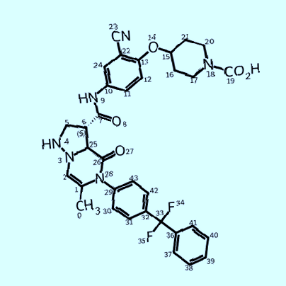 CC1=CN2NC[C@H](C(=O)Nc3ccc(OC4CCN(C(=O)O)CC4)c(C#N)c3)C2C(=O)N1c1ccc(C(F)(F)c2ccccc2)cc1